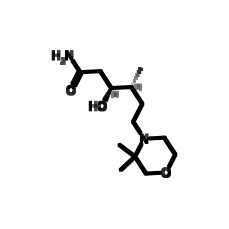 C[C@H](CCN1CCOCC1(C)C)[C@@H](O)CC(N)=O